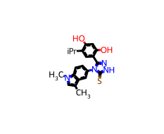 Cc1cn(C)c2ccc(-n3c(-c4cc(C(C)C)c(O)cc4O)n[nH]c3=S)cc12